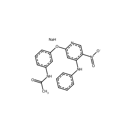 CC(=O)Nc1cccc(Oc2cc(Nc3ccccc3)c([N+](=O)[O-])cn2)c1.[NaH]